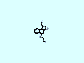 C=CCNc1cc2c(c3ccccc13)C(CCl)CN2